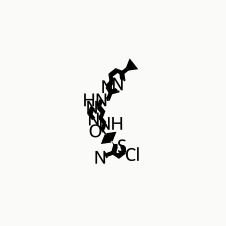 N#Cc1cc(Cl)sc1[C@]12C[C@]1(C(=O)Nc1cc(NCc3cn4cc(C5CC5)ccc4n3)ncn1)C2